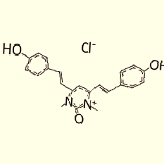 Cn1c(C=Cc2ccc(O)cc2)cc(C=Cc2ccc(O)cc2)[n+](C)c1=O.[Cl-]